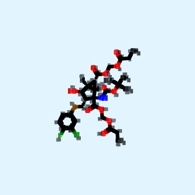 CCC(=O)OCOC(=O)[C@H]1[C@@H]2[C@H](O)[C@@H](CSc3ccc(F)c(Cl)c3)[C@@](NC(=O)OC(C)(C)C)(C(=O)OCOC(=O)CC)[C@H]12